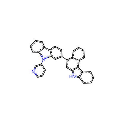 c1cncc(-n2c3ccccc3c3ccc(-c4cc5[nH]c6ccccc6c5c5ccccc45)cc32)c1